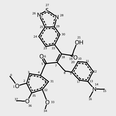 COc1cc(C(=O)C(Cc2cccc(N(C)C)c2)=C(C(=O)O)c2ccc3nsnc3c2)cc(OC)c1OC